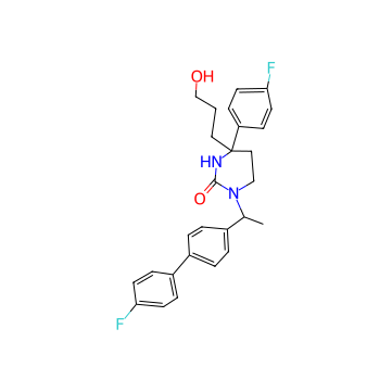 CC(c1ccc(-c2ccc(F)cc2)cc1)N1CCC(CCCO)(c2ccc(F)cc2)NC1=O